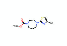 CC(=O)c1csc(N2CCCN(C(=O)OC(C)(C)C)CC2)n1